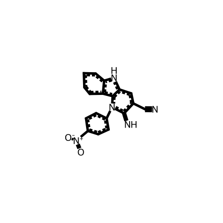 N#Cc1cc2[nH]c3ccccc3c2n(-c2ccc([N+](=O)[O-])cc2)c1=N